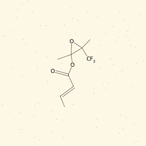 CC=CC(=O)OC1(C)OC1(C)C(F)(F)F